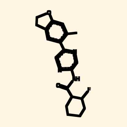 Cc1cc2c(cc1-c1cnc(NC(=O)C3CCCCC3F)cn1)CCO2